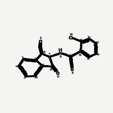 O=C(NN1C(=O)c2ccccc2C1=O)c1ccccc1Cl